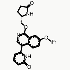 CC(C)Oc1ccc2c(-c3cccc(=O)[nH]3)cnc(OC[C@@H]3CCC(=O)N3)c2c1